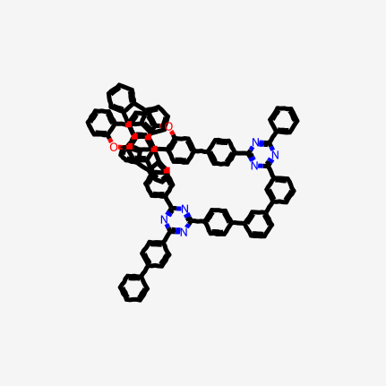 c1ccc(-c2ccc(-c3nc(-c4ccc(-c5cccc(-c6cccc(-c7nc(-c8ccccc8)nc(-c8ccc(-c9ccc%10c(c9)Oc9ccccc9C%109c%10ccccc%10-c%10ccccc%109)cc8)n7)c6)c5)cc4)nc(-c4ccc(-c5ccc6c(c5)Oc5ccccc5C65c6ccccc6-c6ccccc65)cc4)n3)cc2)cc1